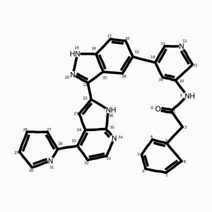 O=C(Cc1ccccc1)Nc1cncc(-c2ccc3[nH]nc(-c4cc5c(-c6ccccn6)ccnc5[nH]4)c3c2)c1